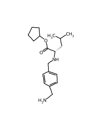 CC(C)C[C@H](NCc1ccc(CN)cc1)C(=O)OC1CCCC1